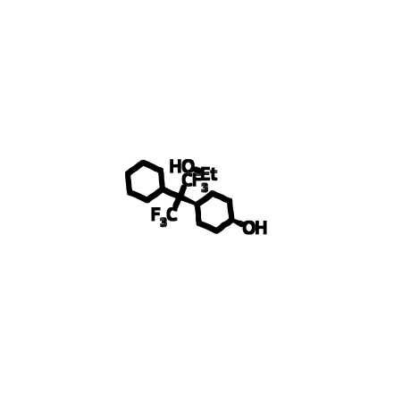 CCO.O[C@H]1CC[C@@H](C(C2CCCCC2)(C(F)(F)F)C(F)(F)F)CC1